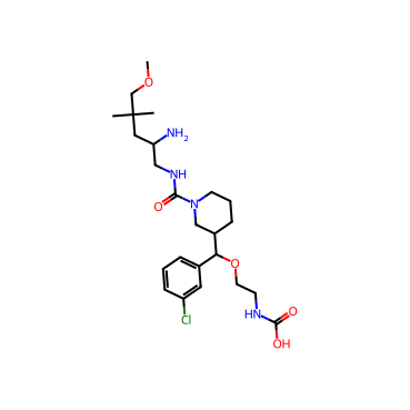 COCC(C)(C)CC(N)CNC(=O)N1CCCC(C(OCCNC(=O)O)c2cccc(Cl)c2)C1